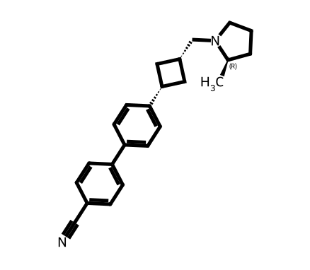 C[C@@H]1CCCN1C[C@H]1C[C@@H](c2ccc(-c3ccc(C#N)cc3)cc2)C1